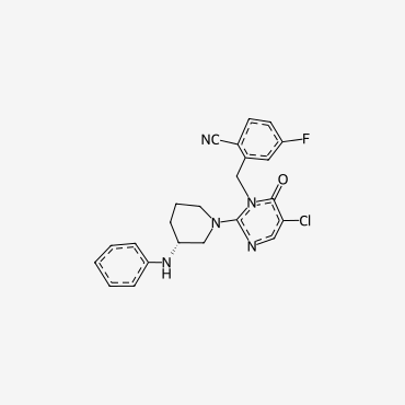 N#Cc1ccc(F)cc1Cn1c(N2CCC[C@@H](Nc3ccccc3)C2)ncc(Cl)c1=O